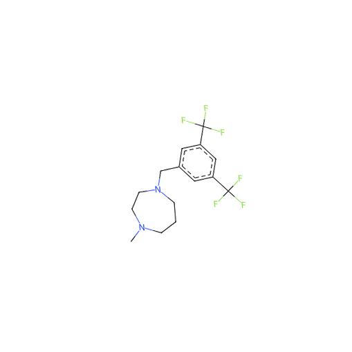 CN1CCCN(Cc2cc(C(F)(F)F)cc(C(F)(F)F)c2)CC1